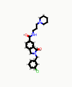 O=C(NCCCN1CCCCC1)c1ccc2c(c1)C(=O)N(Cc1cccc(Cl)c1)C2